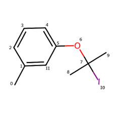 Cc1cccc(OC(C)(C)I)c1